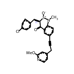 COc1cc(CC#Cc2ccc3c(c2)C(=O)/C(=C\c2ccc(Cl)cc2)[S+]([O-])N3C)ccn1